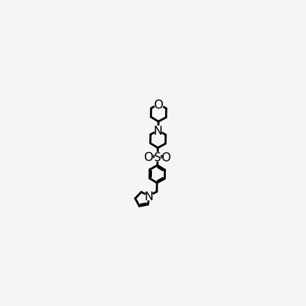 O=S(=O)(c1ccc(CN2C=CCC2)cc1)C1CCN(C2CCOCC2)CC1